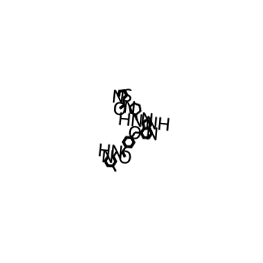 Cc1ccnc(NC(=O)c2ccc(Oc3ccnc4[nH]nc(NC5CCCN(C(=O)c6nccs6)C5)c34)cc2)c1